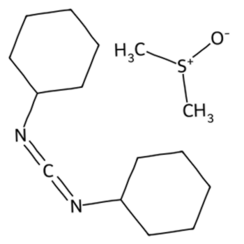 C(=NC1CCCCC1)=NC1CCCCC1.C[S+](C)[O-]